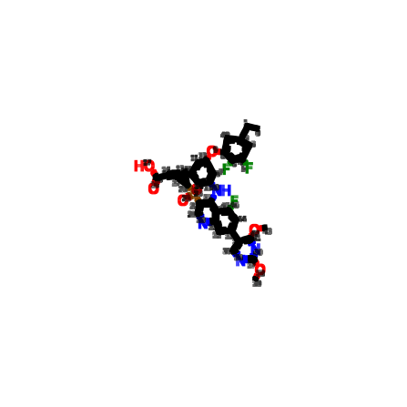 CCc1cc(F)c(F)c(Oc2cc(C#CC(=O)O)cc(Nc3c(S(=O)(=O)C4CC4)cnc4cc(-c5cnc(OC)nc5OC)cc(F)c34)c2)c1